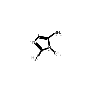 Bc1cnc(C)n1B